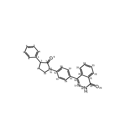 O=C1C(c2ccccc2)CCN1c1ccc(-c2n[nH]c(=O)c3ccccc23)cc1